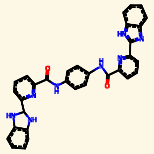 O=C(Nc1ccc(NC(=O)c2cccc(C3Nc4ccccc4N3)n2)cc1)c1cccc(-c2nc3ccccc3[nH]2)n1